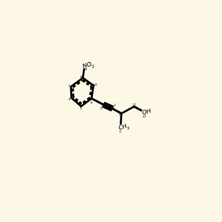 CC(C#Cc1cccc([N+](=O)[O-])c1)CO